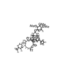 CC[C@H]1CCC[C@H](OC2CC[C@H](N(C)C)C(C)O2)[C@@H](C)C(=O)C2=C[C@H]3[C@@H]4C[C@H](O[C@@H]5OC(C)[C@H](OC)C(OC)C5OC)C[C@H]4c4sc(-c5cccs5)nc4[C@H]3[C@@H]2CC(=O)O1